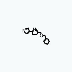 C1=C(COCc2ccccc2)CCC(c2ccncc2)=N1